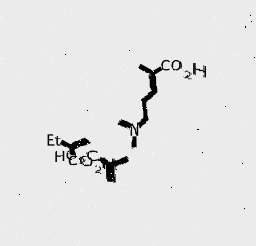 C=C(C)C(=O)O.C=C(CC)C(=O)O.CC(=CCCN(C)C)C(=O)O